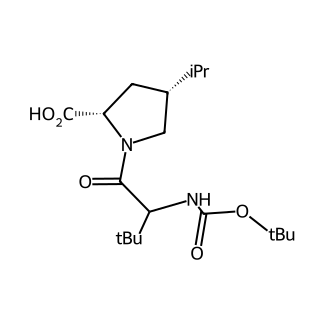 CC(C)[C@H]1C[C@@H](C(=O)O)N(C(=O)C(NC(=O)OC(C)(C)C)C(C)(C)C)C1